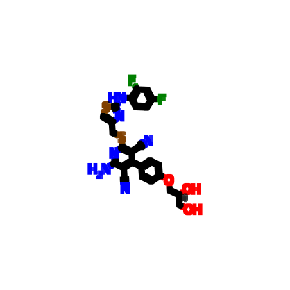 N#Cc1c(N)nc(SCc2csc(Nc3ccc(F)cc3F)n2)c(C#N)c1-c1ccc(OC[C@@H](O)CO)cc1